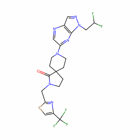 O=C1N(Cc2nc(C(F)(F)F)cs2)CCC12CCN(c1cnc3cnn(CC(F)F)c3n1)CC2